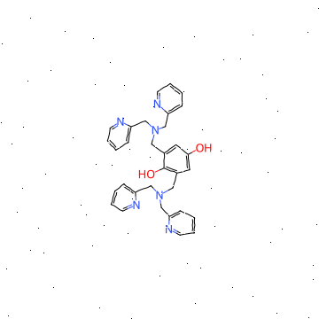 Oc1cc(CN(Cc2ccccn2)Cc2ccccn2)c(O)c(CN(Cc2ccccn2)Cc2ccccn2)c1